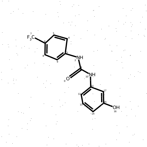 O=C(Nc1ccc(C(F)(F)F)cc1)Nc1cccc(O)c1